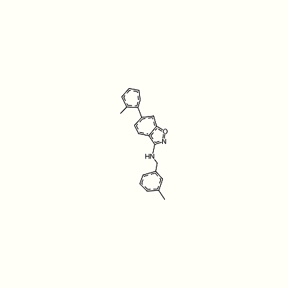 Cc1cccc(CNc2noc3cc(-c4ccccc4C)ccc23)c1